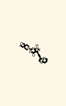 C[C@H]1CC2(CCN(c3nc4[nH]nc(C#Cc5cnc6cccnn56)c4c(=O)n3C)CC2)CO1